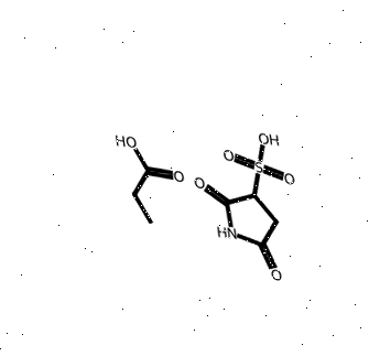 CCC(=O)O.O=C1CC(S(=O)(=O)O)C(=O)N1